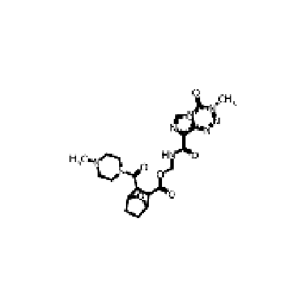 CN1CCN(C(=O)C2C3CCC(O3)C2C(=O)OCNC(=O)c2ncn3c(=O)n(C)nnc23)CC1